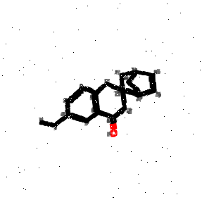 CCc1ccc2c(c1)C(=O)CC1(C2)CC2C=CC1C2